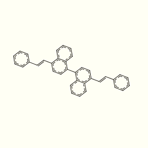 C(=Cc1ccc(-c2ccc(C=Cc3ccccc3)c3ccccc23)c2ccccc12)c1ccccc1